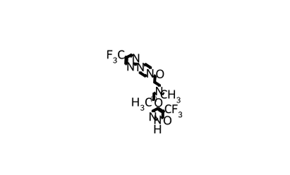 C[C@@H](CN(C)CCC(=O)N1CCN(c2ncc(C(F)(F)F)cn2)CC1)Oc1cn[nH]c(=O)c1C(F)(F)F